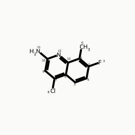 Cc1c(F)ccc2c(Cl)cc(N)nc12